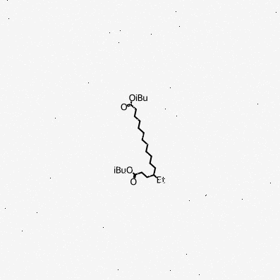 CCC(CCCCCCCCCCCC(=O)OCC(C)C)CCC(=O)OCC(C)C